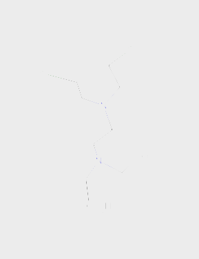 O=C(O)CN(CCN(CCCl)CCCl)CC(=O)O